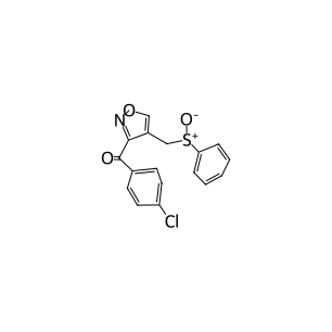 O=C(c1ccc(Cl)cc1)c1nocc1C[S+]([O-])c1ccccc1